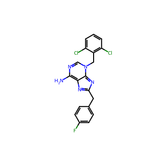 Nc1ncn(Cc2c(Cl)cccc2Cl)c2nc(Cc3ccc(F)cc3)nc1-2